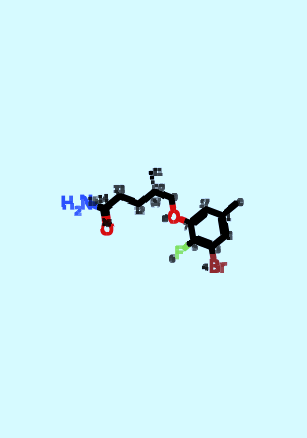 Cc1cc(Br)c(F)c(OC[C@@H](C)CCC(N)=O)c1